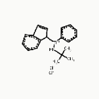 CC(C)(C)[NH][Ti+2]([c]1ccccc1)[CH]1C=Cc2ccccc21.[Cl-].[Cl-]